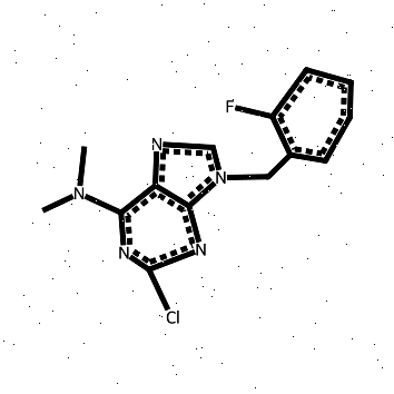 CN(C)c1nc(Cl)nc2c1ncn2Cc1ccccc1F